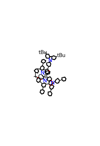 CC(C)(C)c1ccc2c(c1)c1cc(C(C)(C)C)ccc1n2-c1ccc(-c2ccc3c(c2)N2c4cc(cc5c4B3c3ccc(N(c4ccc(-c6ccccc6)cc4)c4ccc(-c6ccccc6)cc4)cc3N5c3c(-c4ccccc4)cc(-c4ccccc4)cc3-c3ccccc3)C(C)(C)c3ccc(cc3)-c3cc(-c4ccccc4)cc(-c4ccccc4)c32)cc1